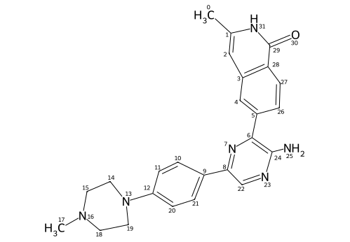 Cc1cc2cc(-c3nc(-c4ccc(N5CCN(C)CC5)cc4)cnc3N)ccc2c(=O)[nH]1